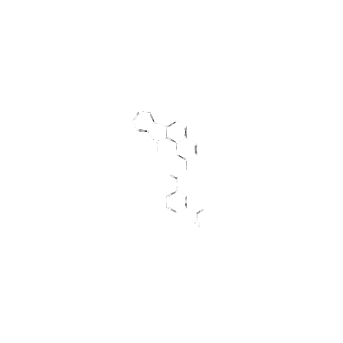 NC(=O)c1cccc(C(=O)Oc2ccc3ccc4c5ccccc5[nH]c4c3c2)c1